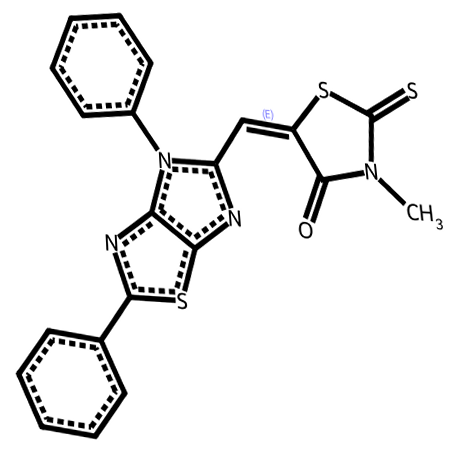 CN1C(=O)/C(=C\c2nc3sc(-c4ccccc4)nc3n2-c2ccccc2)SC1=S